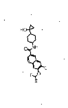 O=C(NC1CCC(C2(O)CC2)CC1)c1cnc2cc(OC(F)F)c(Cl)cc2c1